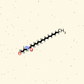 CCCCCCCCCCCCCCCCCC(=O)NCCC[C]=O